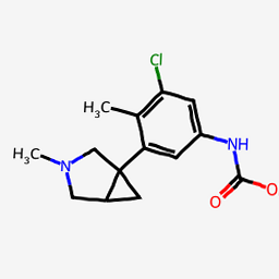 Cc1c(Cl)cc(NC(=O)O)cc1C12CC1CN(C)C2